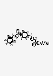 COC(=O)COCC1CCN(C(=O)OCc2ccccc2)CC1